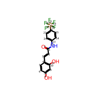 O=C(C=Cc1ccc(O)cc1O)Nc1ccc(S(F)(F)(F)(F)F)cc1